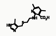 Cc1cc(C)c(C(=O)O)c(NCCSCc2nc[nH]c2C)n1